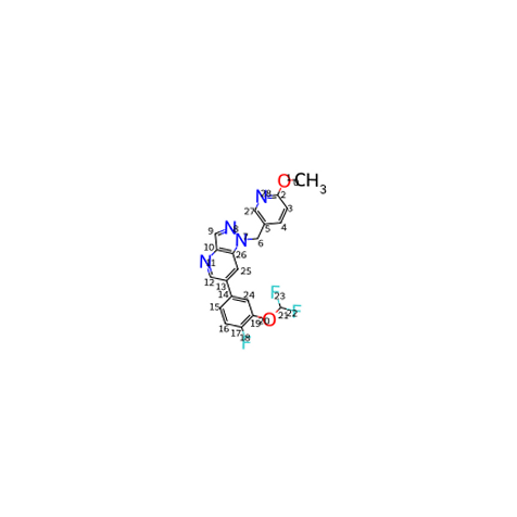 COc1ccc(Cn2ncc3ncc(-c4ccc(F)c(OC(F)F)c4)cc32)cn1